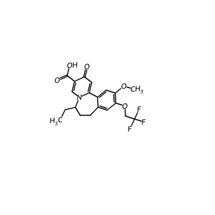 CCC1CCc2cc(OCC(F)(F)F)c(OC)cc2-c2cc(=O)c(C(=O)O)cn21